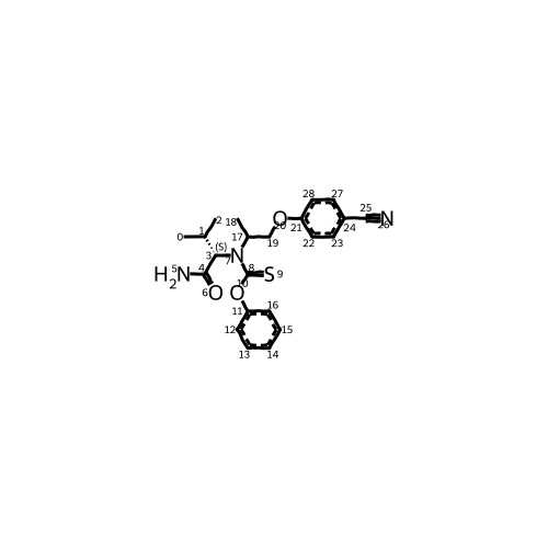 CC(C)[C@@H](C(N)=O)N(C(=S)Oc1ccccc1)C(C)COc1ccc(C#N)cc1